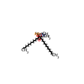 CCCCCCCCCCCCCC(=O)C(C[N+](C)(C)C)(O[PH-])C(=O)CCCCCCCCCCCCC